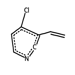 C=Cc1cnccc1Cl